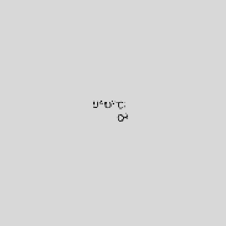 [C].[O-2].[O-2].[U+4]